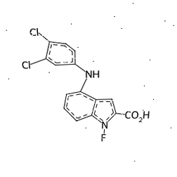 O=C(O)c1cc2c(Nc3ccc(Cl)c(Cl)c3)cccc2n1F